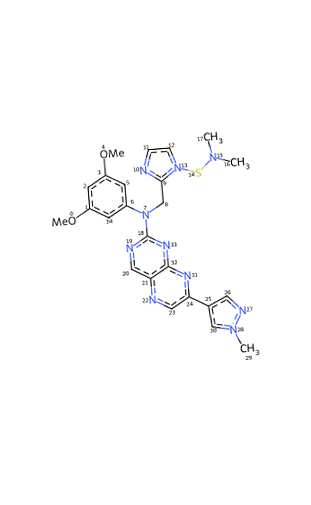 COc1cc(OC)cc(N(Cc2nccn2SN(C)C)c2ncc3ncc(-c4cnn(C)c4)nc3n2)c1